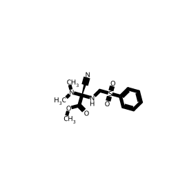 COC(=O)[C@@](C#N)(NCS(=O)(=O)c1ccccc1)N(C)C